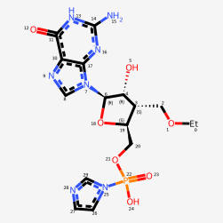 CCOC[C@H]1[C@@H](O)[C@H](n2cnc3c(=O)[nH]c(N)nc32)O[C@@H]1COP(=O)(O)n1ccnc1